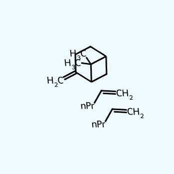 C=C1CCC2CC1C2(C)C.C=CCCC.C=CCCC